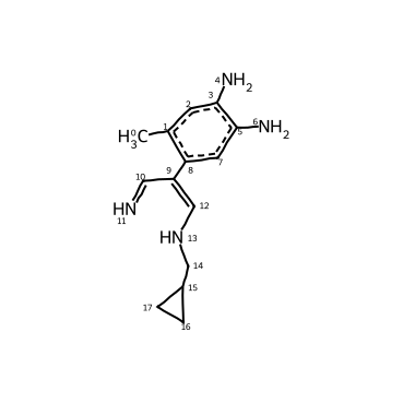 Cc1cc(N)c(N)cc1/C(C=N)=C/NCC1CC1